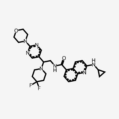 O=C(NCC(c1cnc(N2CCOCC2)nc1)N1CCC(F)(F)CC1)c1cccc2nc(NC3CC3)ccc12